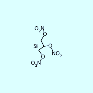 O=[N+]([O-])OCC(CO[N+](=O)[O-])O[N+](=O)[O-].[Si]